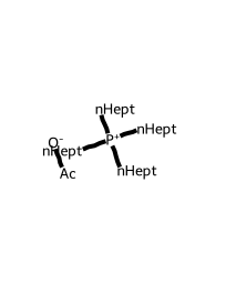 CC(=O)[O-].CCCCCCC[P+](CCCCCCC)(CCCCCCC)CCCCCCC